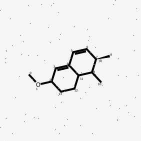 COC1C=C2C=C[C@@H](C)C(C)C2CC1